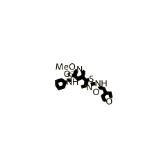 COc1ncc(-c2sc(NC(=O)CC3CCOCC3)nc2C)cc1[S+]([O-])NC1CCCCC1